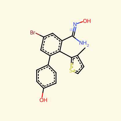 Cc1ccsc1-c1c(/C(N)=N/O)cc(Br)cc1-c1ccc(O)cc1